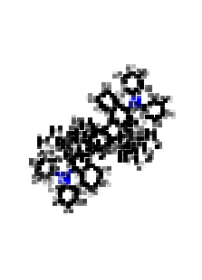 BC(B)(B)C1(C(B)(B)B)c2cc3c(cc2-c2c1cc(N(c1ccccc1)c1ccccc1)c1ccccc21)C(C(B)(B)B)(C(B)(B)B)c1cc(N(c2ccccc2)c2ccccc2)c2ccccc2c1-3